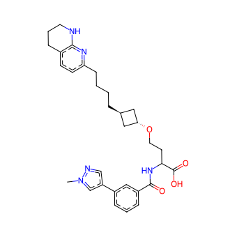 Cn1cc(-c2cccc(C(=O)NC(CCO[C@H]3C[C@H](CCCCc4ccc5c(n4)NCCC5)C3)C(=O)O)c2)cn1